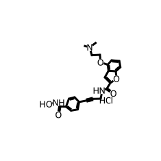 CN(C)CCOc1cccc2oc(C(=O)NCC#Cc3ccc(C(=O)NO)cc3)cc12.Cl